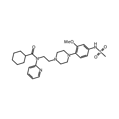 COc1cc(NS(C)(=O)=O)ccc1N1CCN(CCN(C(=O)C2CCCCC2)c2ccccn2)CC1